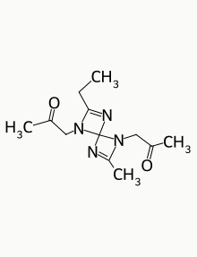 CCC1=NC2(N=C(C)N2CC(C)=O)N1CC(C)=O